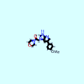 COc1ccc(-c2cnc3c(c2)N(CC(=O)N2CCOCC2)CN3)cc1